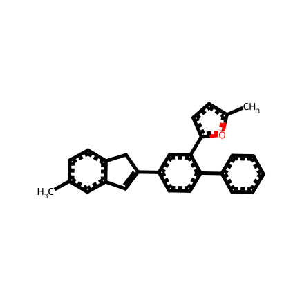 Cc1ccc2c(c1)C=C(c1ccc(-c3ccccc3)c(-c3ccc(C)o3)c1)C2